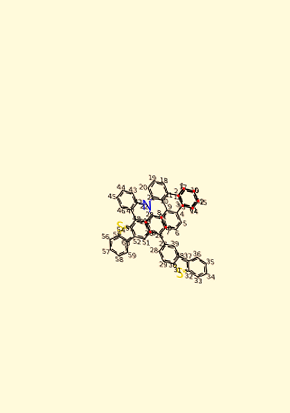 c1ccc(-c2ccccc2-c2c(-c3ccccc3)cccc2N(c2ccc(-c3ccc4sc5ccccc5c4c3)cc2)c2ccccc2-c2cccc3c2sc2ccccc23)cc1